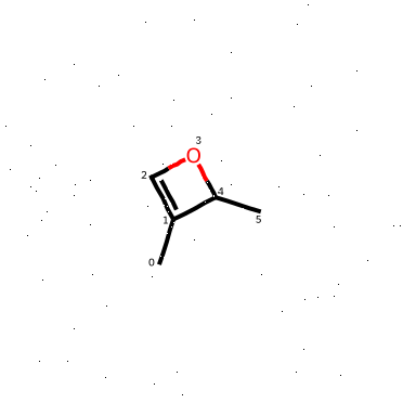 CC1=COC1C